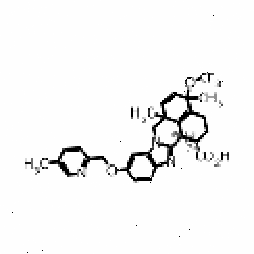 Cc1ccc(COc2ccc3nc4n(c3c2)CC2(C)C=CC(C)(OC(F)(F)F)C3=C2[C@H]4[C@H](C(=O)O)CC3)nc1